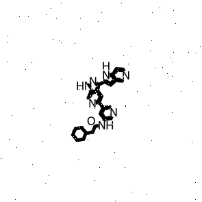 O=C(CC1CCCCC1)Nc1cncc(-c2cc3c(-c4cc5cnccc5[nH]4)n[nH]c3cn2)c1